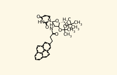 CC(C)(C)OC[C@H]1O[C@@H](n2ccc(=O)[nH]c2=O)[C@@H](NC(=O)CCc2cc3ccc4cccc5ccc(c2)c3c45)C1OC(C)(C)C